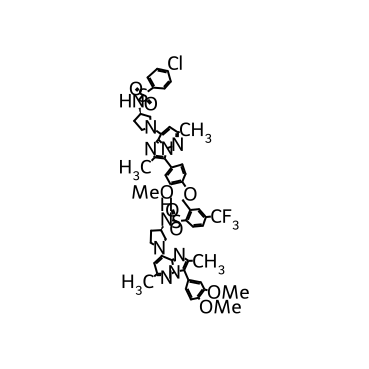 COc1ccc(-c2c(C)nc3c(N4CC[C@@H](NS(=O)(=O)c5ccc(C(F)(F)F)cc5COc5ccc(-c6c(C)nc7c(N8CC[C@@H](NS(=O)(=O)c9ccc(Cl)cc9)C8)cc(C)nn67)cc5OC)C4)cc(C)nn23)cc1OC